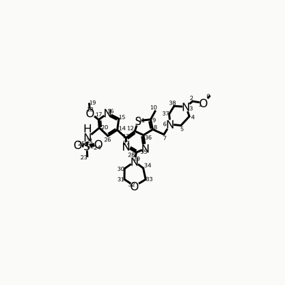 COCN1CCN(Cc2c(C)sc3c(-c4cnc(OC)c(NS(C)(=O)=O)c4)nc(N4CCOCC4)nc23)CC1